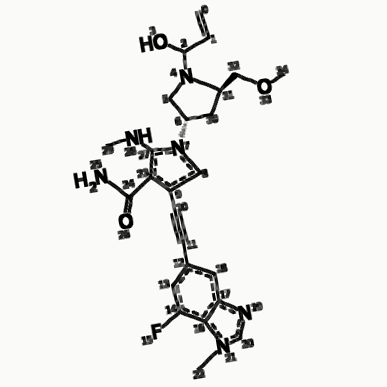 C=CC(O)N1C[C@@H](n2cc(C#Cc3cc(F)c4c(c3)ncn4C)c(C(N)=O)c2NC)C[C@@H]1COC